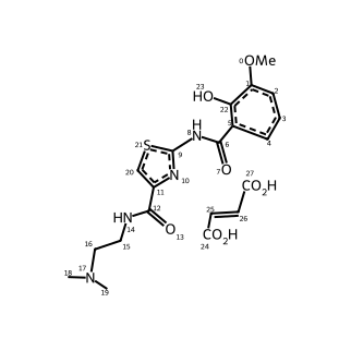 COc1cccc(C(=O)Nc2nc(C(=O)NCCN(C)C)cs2)c1O.O=C(O)C=CC(=O)O